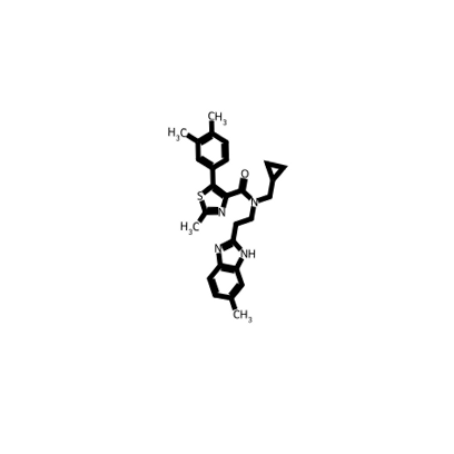 Cc1ccc2nc(CCN(CC3CC3)C(=O)c3nc(C)sc3-c3ccc(C)c(C)c3)[nH]c2c1